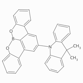 CC1(C)c2ccccc2N(c2cc3c4c(c2)-c2ccccc2OB4Oc2ccccc2-3)c2ccccc21